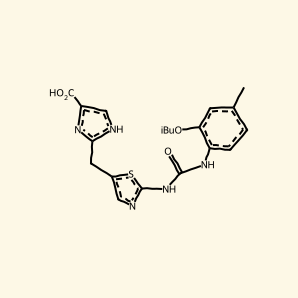 Cc1ccc(NC(=O)Nc2ncc(Cc3nc(C(=O)O)c[nH]3)s2)c(OCC(C)C)c1